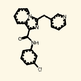 O=C(Nc1cccc(Cl)c1)c1nc(Cc2cccnc2)n2ccccc12